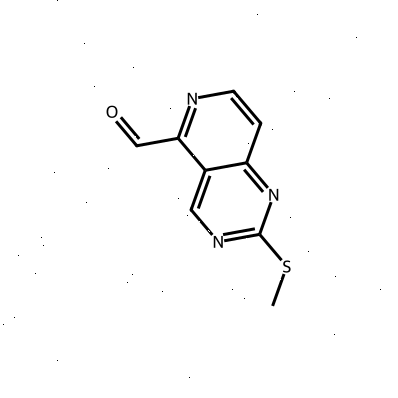 CSc1ncc2c(C=O)nccc2n1